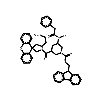 CCN(C(=O)Cc1ccccc1)C1CC(C(=O)NCC2(CCCCOC)c3ccccc3Oc3ccccc32)CN(C(=O)OCC2c3ccccc3-c3ccccc32)C1